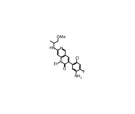 CCn1c(=O)c(-c2cc(N)c(F)cc2Cl)cc2cnc(NC(C)COC)cc21